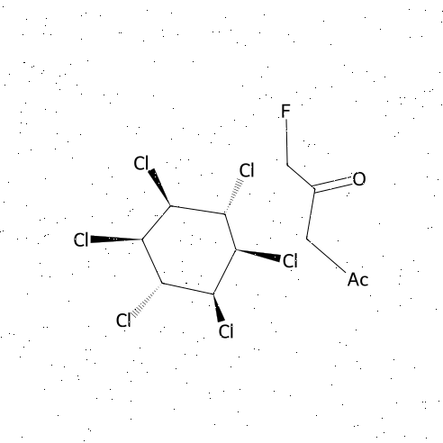 CC(=O)CC(=O)CF.Cl[C@H]1[C@H](Cl)[C@@H](Cl)[C@@H](Cl)[C@H](Cl)[C@H]1Cl